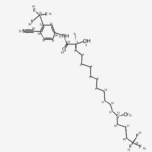 C[C@](O)(CCCCCCCCCCC[S+]([O-])CCCC(F)(F)F)C(=O)Nc1ccc(C#N)c(C(F)(F)F)c1